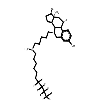 CN(CCCCCCC(F)(F)C(F)(F)C(F)(F)C(F)(F)F)CCCCC[C@@H]1Cc2cc(O)ccc2C2C1C1CC[C@H](O)[C@@]1(C)C[C@@H]2F